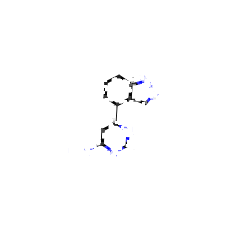 Nc1cc(-c2cccc3[nH]ncc23)ncn1